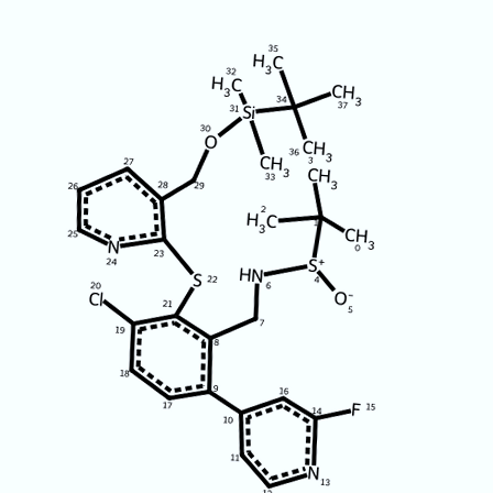 CC(C)(C)[S+]([O-])NCc1c(-c2ccnc(F)c2)ccc(Cl)c1Sc1ncccc1CO[Si](C)(C)C(C)(C)C